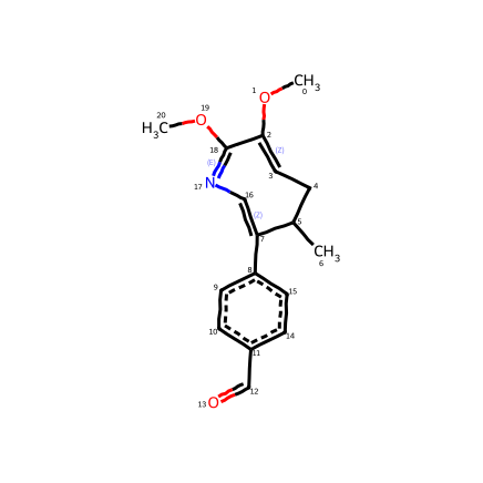 COC1=C\CC(C)/C(c2ccc(C=O)cc2)=C/N=C\1OC